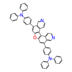 c1ccc(N(c2ccccc2)c2ccc(-c3cc4oc5cc(-c6ccc(N(c7ccccc7)c7ccccc7)cc6)c6cnccc6c5c4c4ccncc34)cc2)cc1